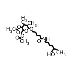 CCC(CO)CCCCNC(=O)CCCCOC1OC(COC(C)=O)C(OC(C)=O)C(C)C1C